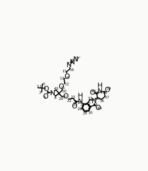 CC(C)(C)OC(=O)N1CC(COCCOCCN=[N+]=[N-])(COCCC(=O)Nc2cccc3c2CN(C2CCC(=O)NC2=O)C3=O)C1